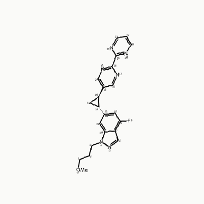 COCCCn1ncc2c(F)cc([C@@H]3C[C@H]3c3cnc(-c4ncccn4)nc3)cc21